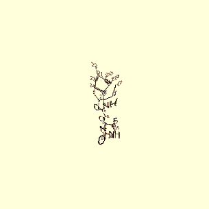 CCC(CC)(NC(=O)COc1nc(=O)[nH]cc1F)c1ccc(C)cc1